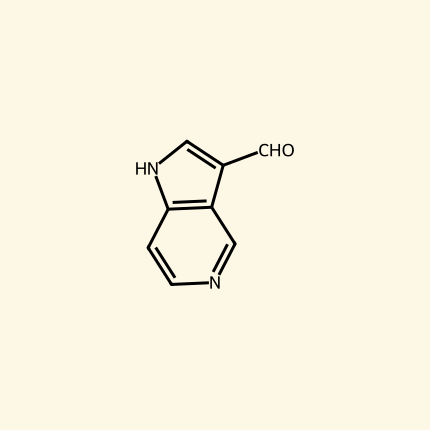 O=Cc1c[nH]c2ccncc12